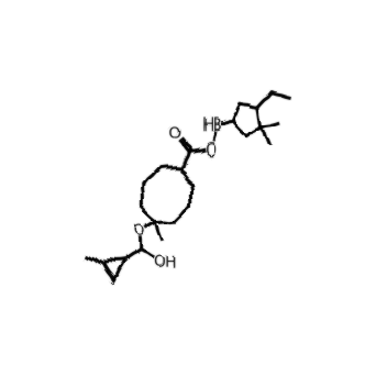 CCC1CC(BOC(=O)C2CCCC(C)(OC(O)C3CC3C)CCC2)CC1(C)C